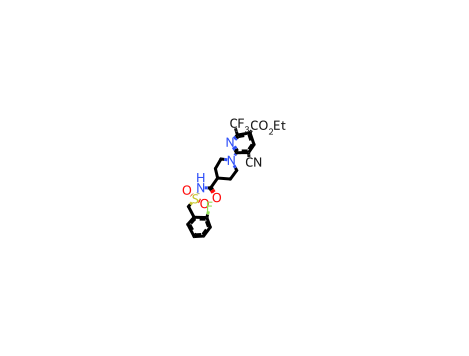 CCOC(=O)c1cc(C#N)c(N2CCC(C(=O)NS(=O)(=O)Cc3ccccc3F)CC2)nc1C(F)(F)F